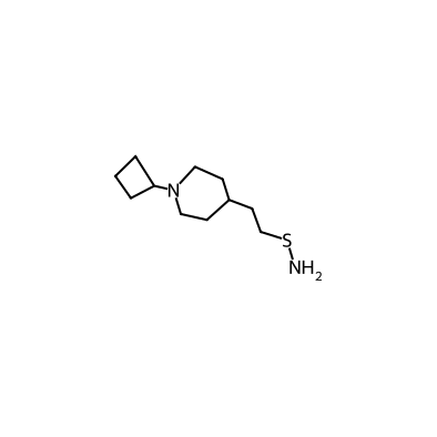 NSCCC1CCN(C2CCC2)CC1